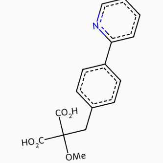 COC(Cc1ccc(-c2ccccn2)cc1)(C(=O)O)C(=O)O